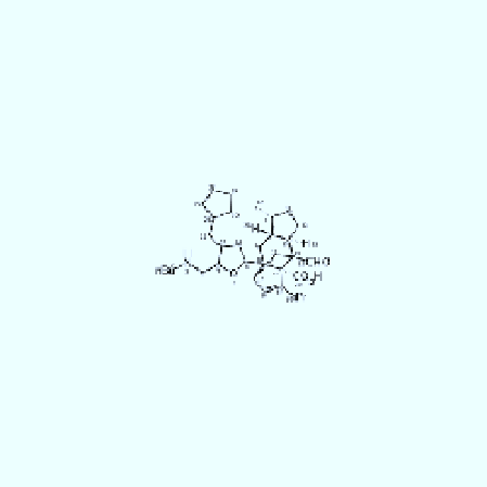 CCCCNCC1OC(C23C[C@@H]4[C@H](C)CC[C@H]4C4(C=O)CC2C=C(C(C)C)[C@@]34C(=O)O)CC1CC1CCCC1